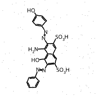 Nc1c(N=Nc2ccc(O)cc2)c(S(=O)(=O)O)cc2cc(S(=O)(=O)O)c(N=Nc3ccccc3)c(O)c12